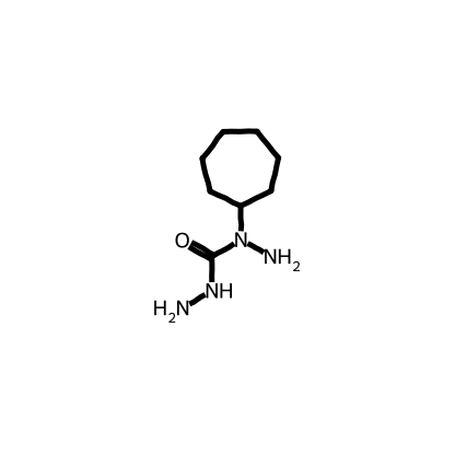 NNC(=O)N(N)C1CCCCCC1